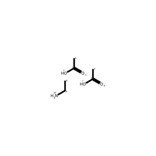 CC(=O)O.CC(=O)O.CCN